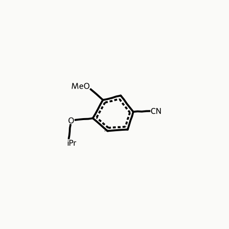 COc1cc(C#N)c[c]c1OC(C)C